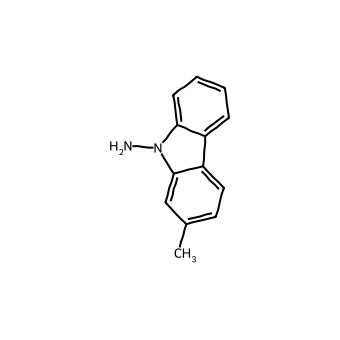 Cc1ccc2c3ccccc3n(N)c2c1